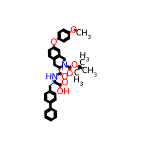 COc1ccc(Oc2ccc3c(c2)CN(C(=O)OC(C)(C)C)[C@H](C(=O)N[C@@H](Cc2ccc(-c4ccccc4)cc2)C(=O)O)C3)cc1